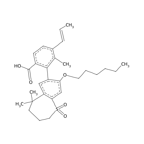 CC=Cc1ccc(C(=O)O)c(-c2cc3c(cc2OCCCCCC)S(=O)(=O)CCCC3(C)C)c1C